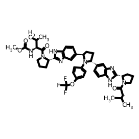 COC(=O)N[C@H](C(=O)N1CCC[C@H]1c1nc2cc([C@H]3CC[C@H](c4ccc5[nH]c([C@@H]6CCCN6C(=O)[CH]C(C)C)nc5c4)N3c3ccc(OC(F)(F)F)cc3)ccc2[nH]1)C(C)C